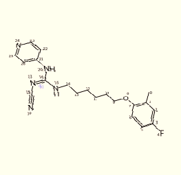 Cc1cc(F)ccc1OCCCCCCN/C(=N\C#N)Nc1ccncc1